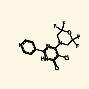 O=c1[nH]c(-c2ccncc2)nc(N2CC(F)(F)OC(F)(F)C2)c1Cl